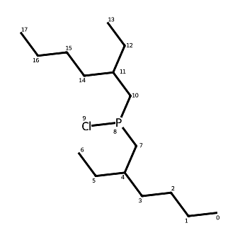 CCCCC(CC)CP(Cl)CC(CC)CCCC